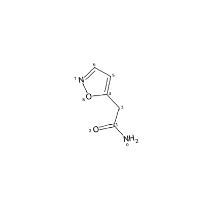 NC(=O)[CH]c1ccno1